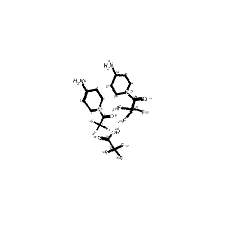 NC1CCN(C(=O)C(F)(F)F)CC1.NC1CCN(C(=O)C(F)(F)F)CC1.O=C(O)C(F)(F)F